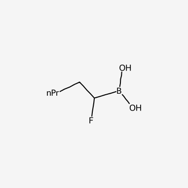 CCCCC(F)B(O)O